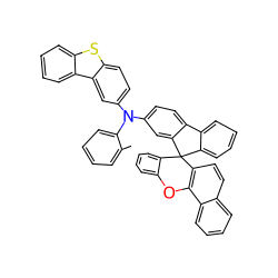 Cc1ccccc1N(c1ccc2c(c1)C1(c3ccccc3Oc3c1ccc1ccccc31)c1ccccc1-2)c1ccc2sc3ccccc3c2c1